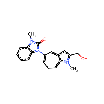 Cn1c(CO)cc2c1=CCC=C(n1c(=O)n(C)c3ccccc31)C=2